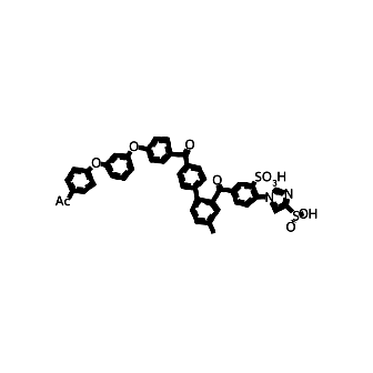 CC(=O)c1ccc(Oc2cccc(Oc3ccc(C(=O)c4ccc(-c5ccc(C)cc5C(=O)c5ccc(-n6cnc(S(=O)O)c6)c(S(=O)(=O)O)c5)cc4)cc3)c2)cc1